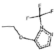 CCOc1c[c]nn1C(F)(F)F